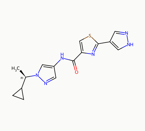 C[C@H](C1CC1)n1cc(NC(=O)c2csc(-c3cn[nH]c3)n2)cn1